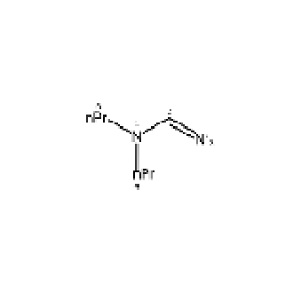 CCCN(C=[N])CCC